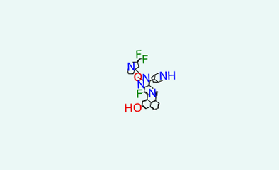 C#Cc1cccc2cc(O)cc(-c3ncc4c(C5C6CCC5CNC6)nc(OCC56CCCN5CC(=C(F)F)C6)nc4c3F)c12